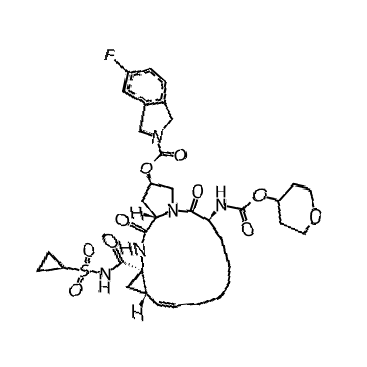 O=C(N[C@H]1CCCCC/C=C\[C@@H]2C[C@@]2(C(=O)NS(=O)(=O)C2CC2)NC(=O)[C@@H]2C[C@@H](OC(=O)N3Cc4ccc(F)cc4C3)CN2C1=O)OC1CCOCC1